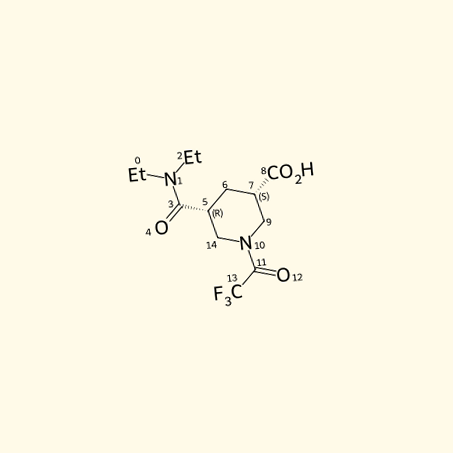 CCN(CC)C(=O)[C@@H]1C[C@H](C(=O)O)CN(C(=O)C(F)(F)F)C1